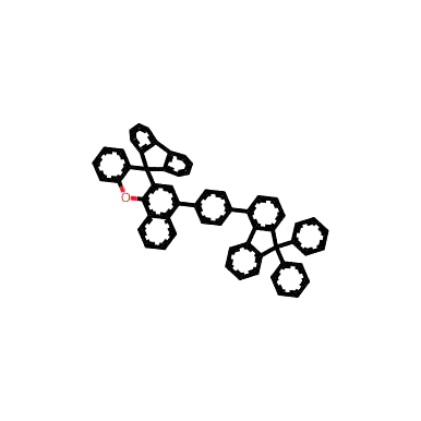 c1ccc(C2(c3ccccc3)c3ccccc3-c3c(-c4ccc(-c5cc6c(c7ccccc57)Oc5ccccc5C65c6ccccc6-c6ccccc65)cc4)cccc32)cc1